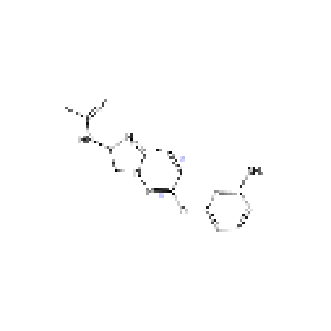 C/C=C\C(=N/N1C=NC(NC(C)=O)C1)Oc1cccc(N)c1